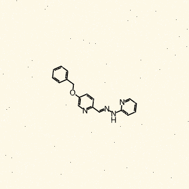 C(=NNc1ccccn1)c1ccc(OCc2ccccc2)cn1